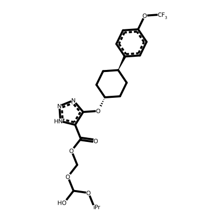 CC(C)OC(O)OCOC(=O)c1[nH]nnc1O[C@H]1CC[C@H](c2ccc(OC(F)(F)F)cc2)CC1